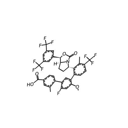 COc1cc(F)c(-c2ccc(C(=O)O)cc2C)cc1-c1ccc(C(F)(F)F)c(C)c1[C@@H]1CC[C@H]2[C@@H](c3cc(C(F)(F)F)cc(C(F)(F)F)c3)OC(=O)N12